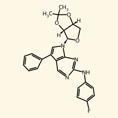 CC1(C)O[C@H]2[C@H](n3cc(-c4ccccc4)c4cnc(Nc5ccc(F)cc5)nc43)OC[C@H]2O1